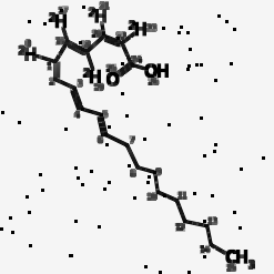 [2H]C(=CC=CC=CCCCCCCCCC)C([2H])=C([2H])C([2H])=C([2H])C(=O)O